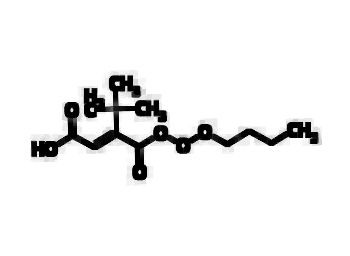 CCCCOOOC(=O)C(=CC(=O)O)C(C)(C)C